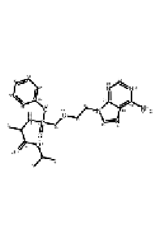 CC(C)OC(=O)C(C)NP(=O)(COCCn1cnc2c(N)ncnc21)Oc1ccccc1